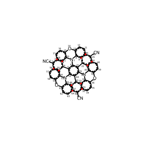 N#Cc1cnc(-c2c(N3c4ccccc4Oc4ccccc43)c(-c3ncc(C#N)cn3)c(N3c4ccccc4Oc4ccccc43)c(-c3ncc(C#N)cn3)c2N2c3ccccc3Oc3ccccc32)nc1